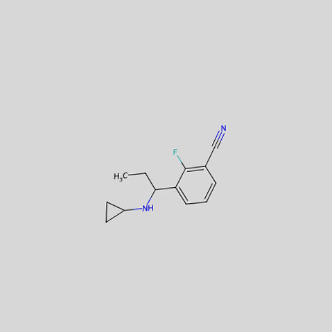 CCC(NC1CC1)c1cccc(C#N)c1F